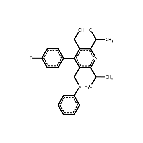 CC(C)c1nc(C(C)C)c(CSc2ccccc2)c(-c2ccc(F)cc2)c1CO